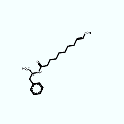 CCCCCCCCC=CCCCCCCCC(=O)N[C@@H](Cc1ccccc1)C(=O)O